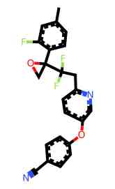 Cc1ccc(C2(C(F)(F)Cc3ccc(Oc4ccc(C#N)cc4)cn3)CO2)c(F)c1